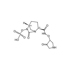 O=C1CNCC1ONC(=O)[C@@H]1CC[C@@H]2CN1C(=O)N2OS(=O)(=O)O